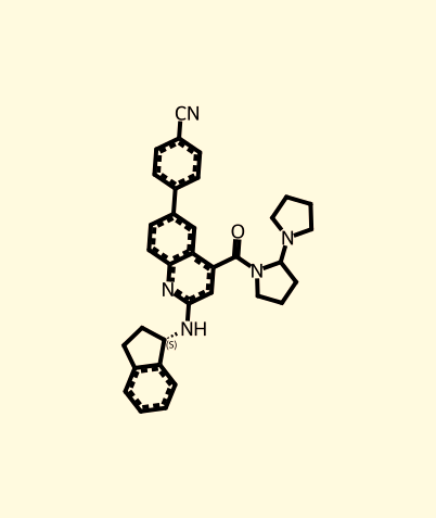 N#Cc1ccc(-c2ccc3nc(N[C@H]4CCc5ccccc54)cc(C(=O)N4CCCC4N4CCCC4)c3c2)cc1